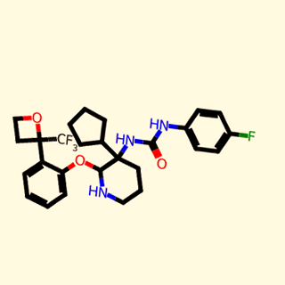 O=C(Nc1ccc(F)cc1)NC1(C2CCCC2)CCCNC1Oc1ccccc1C1(C(F)(F)F)CCO1